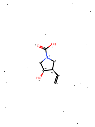 C=C[C@@H]1CN(C(=O)O)C[C@@H]1O